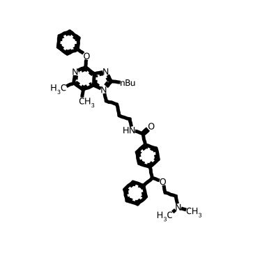 CCCCc1nc2c(Oc3ccccc3)nc(C)c(C)c2n1CCCCNC(=O)c1ccc(C(OCCN(C)C)c2ccccc2)cc1